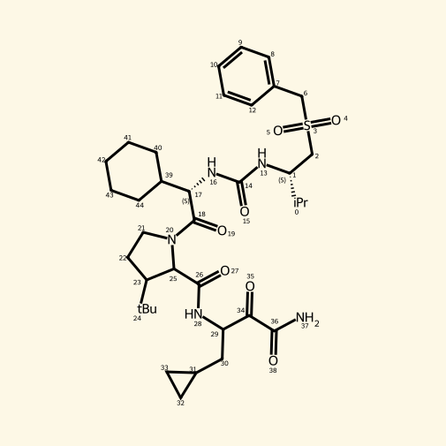 CC(C)[C@@H](CS(=O)(=O)Cc1ccccc1)NC(=O)N[C@H](C(=O)N1CCC(C(C)(C)C)C1C(=O)NC(CC1CC1)C(=O)C(N)=O)C1CCCCC1